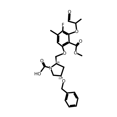 COC(=O)c1c(OC[C@H]2C[C@H](OCc3ccccc3)CN2C(=O)O)cc(C)c(F)c1OC(C)C=O